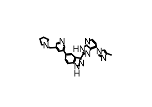 Cc1cn(-c2ccnc3[nH]c(-c4n[nH]c5ccc(-c6cncc(CN7CCCC7)c6)cc45)nc23)cn1